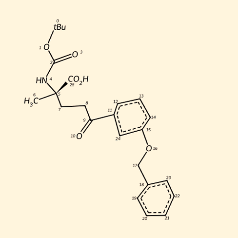 CC(C)(C)OC(=O)N[C@@](C)(CCC(=O)c1cccc(OCc2ccccc2)c1)C(=O)O